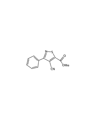 COC(=O)c1snc(-c2ccccc2)c1C#N